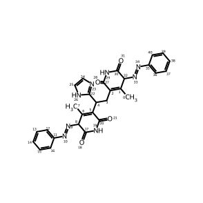 CC1=C(CC(C2=C(C)C(N=Nc3ccccc3)C(=O)NC2=O)c2ncc[nH]2)C(=O)NC(=O)C1N=Nc1ccccc1